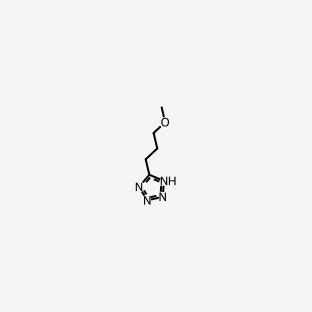 COCCCc1nnn[nH]1